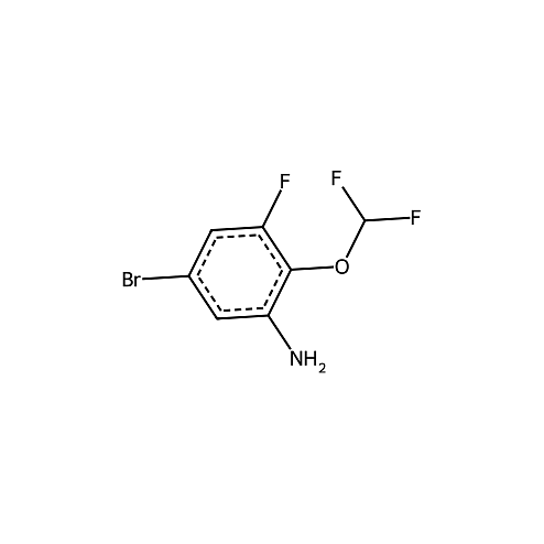 Nc1cc(Br)cc(F)c1OC(F)F